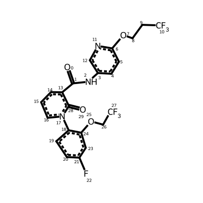 O=C(Nc1ccc(OCCC(F)(F)F)nc1)c1cccn(-c2ccc(F)cc2OCC(F)(F)F)c1=O